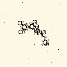 O=C(/C=C/c1cccnc1)NCC1Cc2cc(-c3cc(Cl)cc(Cl)c3)cc(Cl)c2O1